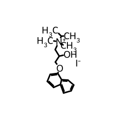 CC(C)[N+](C)(C)CC(O)COc1cccc2ccccc12.[I-]